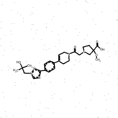 COC1(C(=O)O)CCN(CC(=O)N2CC=C(c3ccc(-c4ncn(CC(C)(C)O)n4)cc3)CC2)C1